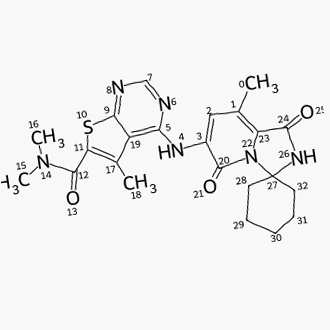 Cc1cc(Nc2ncnc3sc(C(=O)N(C)C)c(C)c23)c(=O)n2c1C(=O)NC21CCCCC1